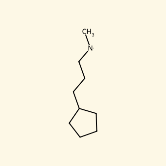 C[N]CCCC1CCCC1